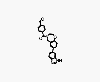 O=Cc1ccc(C(=O)N2CCOc3ccc(-c4ccc5nc[nH]c5c4)cc3C2)cc1